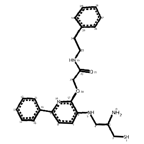 NC(CS)CNc1ccc(-c2ccccc2)nc1OCC(=O)NCCc1ccccc1